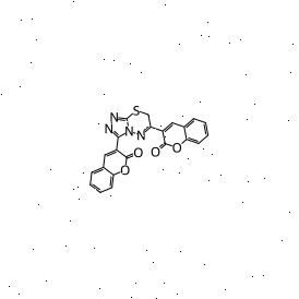 O=c1oc2ccccc2cc1C1=Nn2c(nnc2-c2cc3ccccc3oc2=O)SC1